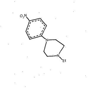 CCN1CCN(c2c[c]c([N+](=O)[O-])cc2)CC1